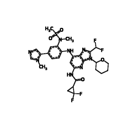 CN(c1cc(-c2cncn2C)ccc1Nc1cc(NC(=O)C2CC2(F)F)nc2c1nc(C(F)F)n2C1CCCCO1)S(C)(=O)=O